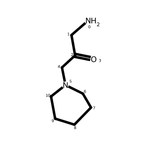 NCC(=O)CN1CCCCC1